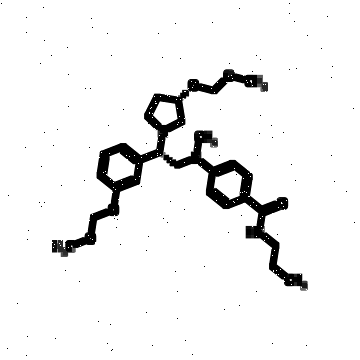 CCCNC(=O)c1ccc(N(C)C[C@H](c2cccc(OCOC)c2)N2CC[C@H](OCOC)C2)cc1